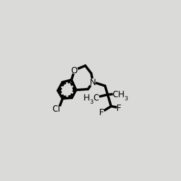 CC(C)(CN1CCOc2ccc(Cl)cc2C1)C(F)F